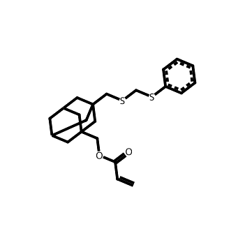 C=CC(=O)OCC12CC3CC(C1)CC(CSCSc1ccccc1)(C3)C2